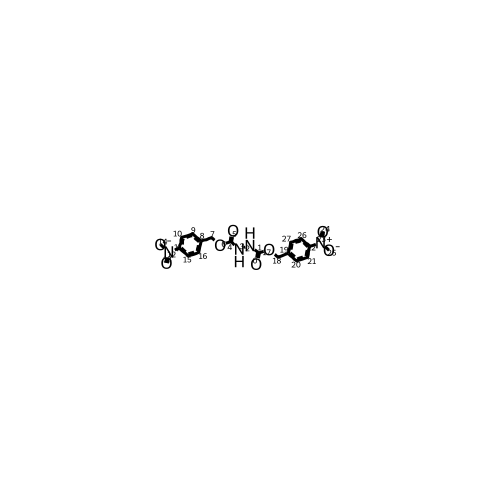 O=C(NNC(=O)OCc1ccc([N+](=O)[O-])cc1)OCc1ccc([N+](=O)[O-])cc1